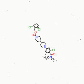 CN(C)C(=O)c1ccc(N2CCC(C3CCN(C(=O)OCc4c(Cl)cccc4Cl)CC3)CC2)cc1Cl